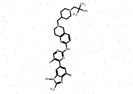 Cc1nc2c(F)cc(-c3nc(Nc4ccc5c(n4)CCN(CC4CCN(CC(C)(C)O)CC4)C5)ncc3F)cc2n1C(C)C